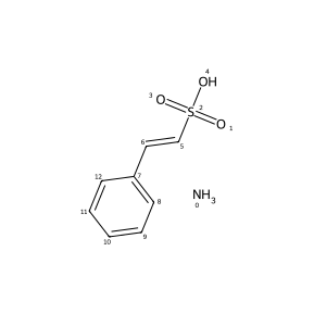 N.O=S(=O)(O)C=Cc1ccccc1